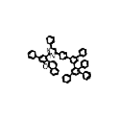 c1ccc(-c2cc(-c3ccc(-c4cc(-c5ccccc5)nc(-c5cc(-c6ccccc6)cc6oc7c8ccccc8ccc7c56)n4)cc3)cc(-c3cc(-c4ccccc4)cc(-c4ccccc4)c3-c3ccccc3)c2)cc1